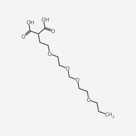 CCCOCCOCOCCOCCC(C(=O)O)C(=O)O